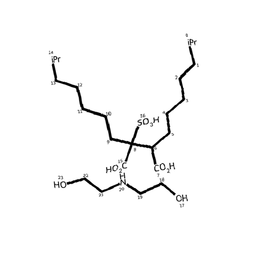 CC(C)CCCCCC(C(=O)O)C(CCCCCC(C)C)(C(=O)O)S(=O)(=O)O.OCCNCCO